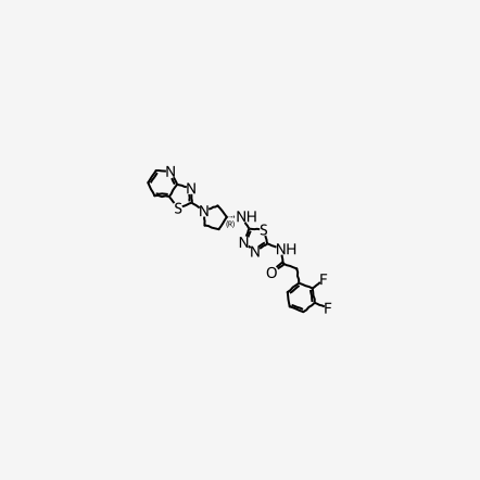 O=C(Cc1cccc(F)c1F)Nc1nnc(N[C@@H]2CCN(c3nc4ncccc4s3)C2)s1